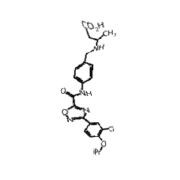 CC(CC(=O)O)NCc1ccc(NC(=O)c2nc(-c3ccc(OC(C)C)c(Cl)c3)no2)cc1